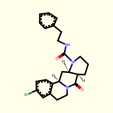 O=C1[C@@H]2CCCN(C(=O)NCCc3ccccc3)[C@@H]2C[C@@H]2c3ccc(Br)cc3CCN12